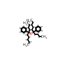 CCCCCC(CCCC)(OC(CCCC)(CCCCC)c1ccccc1)c1ccccc1